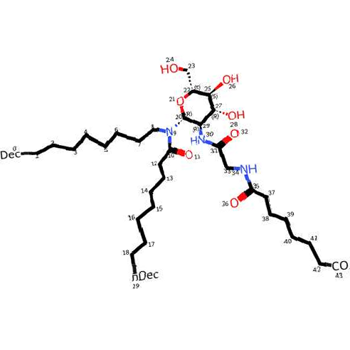 CCCCCCCCCCCCCCCCCCN(C(=O)CCCCCCCCCCCCCCCCC)[C@@H]1O[C@H](CO)[C@@H](O)[C@H](O)[C@H]1NC(=O)CNC(=O)CCCCCCC(=O)O